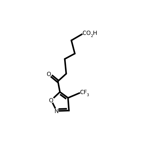 O=C(O)CCCCC(=O)c1oncc1C(F)(F)F